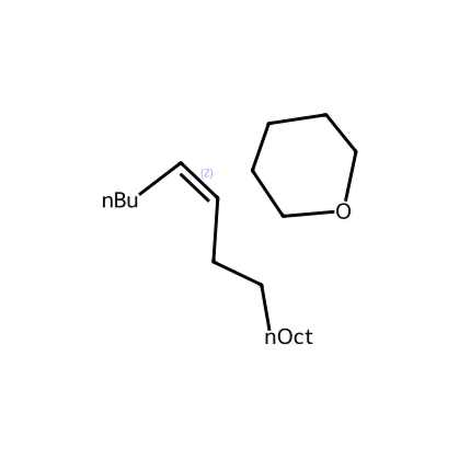 C1CCOCC1.CCCC/C=C\CCCCCCCCCC